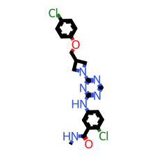 CNC(=O)c1cc(Nc2ncnc(N3CC(COc4ccc(Cl)cc4)C3)n2)ccc1Cl